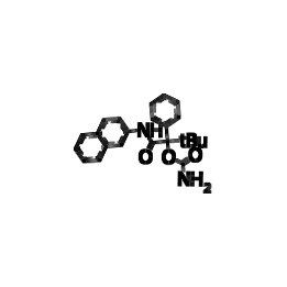 CC(C)(C)C(OC(N)=O)(C(=O)Nc1ccc2ccccc2c1)c1ccccc1